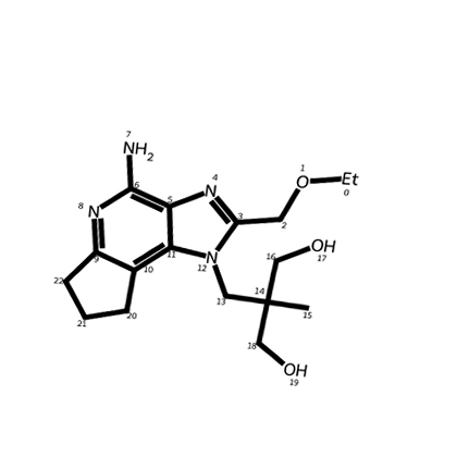 CCOCc1nc2c(N)nc3c(c2n1CC(C)(CO)CO)CCC3